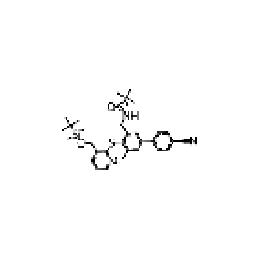 CC(C)(C)[S+]([O-])NCc1cc(-c2ccc(C#N)cc2)cc(Cl)c1Sc1ncccc1CO[Si](C)(C)C(C)(C)C